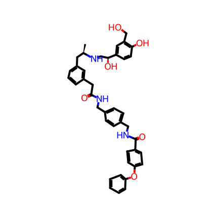 C[C@H](Cc1cccc(CC(=O)NCc2ccc(CNC(=O)c3ccc(Oc4ccccc4)cc3)cc2)c1)NC[C@H](O)c1ccc(O)c(CO)c1